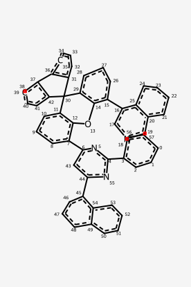 c1ccc(-c2nc(-c3cccc4c3Oc3c(-c5cncc6ccccc56)cccc3C43c4ccccc4-c4ccccc43)cc(-c3cccc4ccccc34)n2)cc1